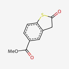 COC(=O)c1ccc2c(c1)CC(=O)S2